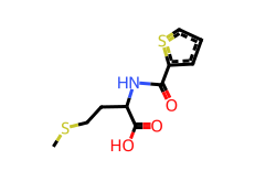 CSCCC(NC(=O)c1cccs1)C(=O)O